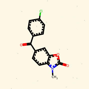 Cn1c(=O)oc2cc(C(=O)c3ccc(Cl)cc3)ccc21